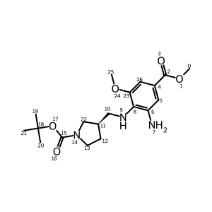 COC(=O)c1cc(N)c(NC[C@H]2CCN(C(=O)OC(C)(C)C)C2)c(OC)c1